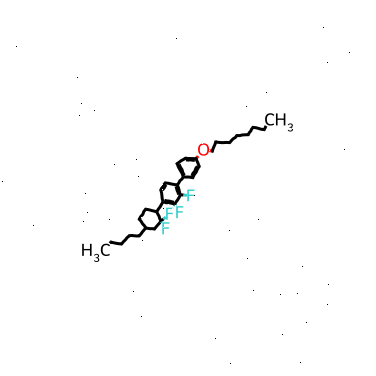 CCCCCCCCOc1ccc(-c2ccc(C3CCC(CCCCC)CC3(F)F)c(F)c2F)cc1